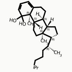 CC(C)CCC[C@@H](C)[C@H]1CC[C@H]2[C@@H]3CCC4=CC=CC(O)(O)[C@]4(C)[C@H]3CC[C@]12C